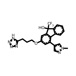 Cn1cc(-c2cc(OCCCc3nnn[nH]3)cc3c2-c2ccccc2C3(O)C(F)(F)F)cn1